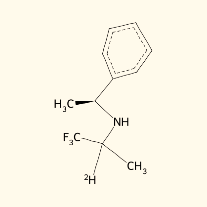 [2H]C(C)(N[C@@H](C)c1ccccc1)C(F)(F)F